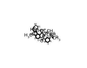 CN(C)c1cccc(S(=O)(=O)c2ccc3c(c2C(=O)OC(C)(C)C)c2c(n3C)CC3CCC2N3)c1